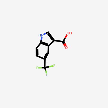 O=C(O)c1c[nH]c2ccc(C(F)(F)F)cc12